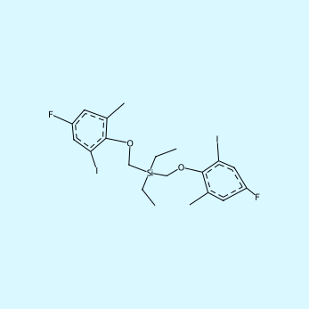 CC[Si](CC)(COc1c(C)cc(F)cc1I)COc1c(C)cc(F)cc1I